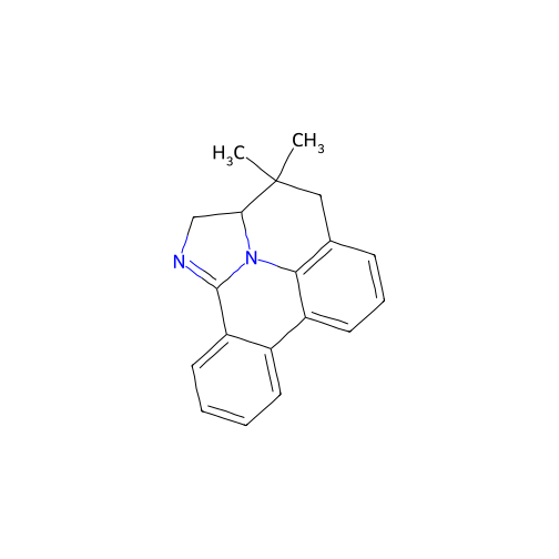 CC1(C)Cc2cccc3c2N2C(=NCC21)c1ccccc1-3